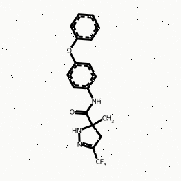 CC1(C(=O)Nc2ccc(Oc3ccccc3)cc2)CC(C(F)(F)F)=NN1